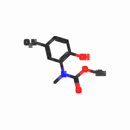 CN(C(=O)OC(C)(C)C)c1cc([N+](=O)[O-])ccc1O